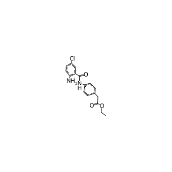 CCOC(=O)Cc1ccc(NC(=O)c2cc(Cl)ccc2N)cc1